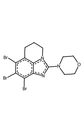 Brc1c(Br)c2c3c(nc(N4CCOCC4)n3CCC2)c1Br